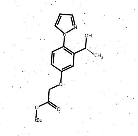 C[C@@H](O)c1cc(OCC(=O)OC(C)(C)C)ccc1-n1cccn1